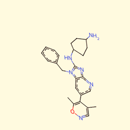 CC1=C=NOC(C)=C1c1cnc2nc(NC3CCC(N)CC3)n(Cc3ccccc3)c2c1